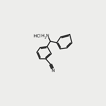 Cl.N#Cc1cccc(C(N)c2ccccc2)c1